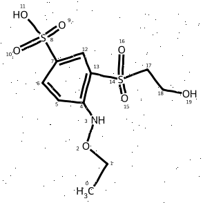 CCONc1ccc(S(=O)(=O)O)cc1S(=O)(=O)CCO